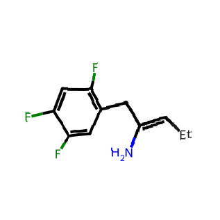 CC/C=C(\N)Cc1cc(F)c(F)cc1F